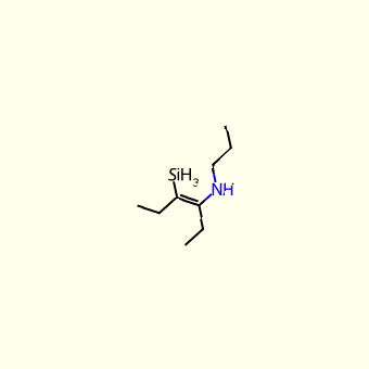 CCCNC(CC)=C([SiH3])CC